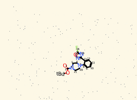 CC(C)(C)OC(=O)N1CCN(c2ccccc2-c2noc(F)n2)CC1